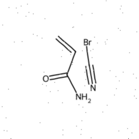 C=CC(N)=O.N#CBr